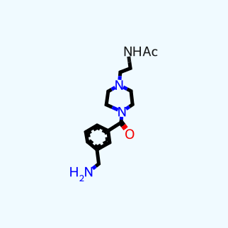 CC(=O)NCCN1CCN(C(=O)c2cccc(CN)c2)CC1